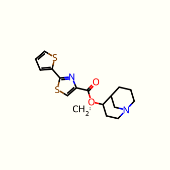 O=C(OC1CCN2CCCC1C2)c1csc(-c2cccs2)n1.[CH2]